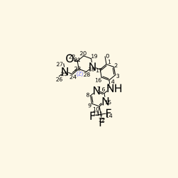 Cc1ccc(Nc2nccc(C(F)(F)F)n2)cc1N1CCC(=O)/C(=C\N(C)C)C1